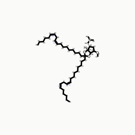 CCCCC/C=C\C/C=C\CCCCCCCCC1(CCCCCCCC/C=C\C/C=C\CCCCC)OC2C(OC)C[C@@H](CN(C)C)[C@@H]2O1